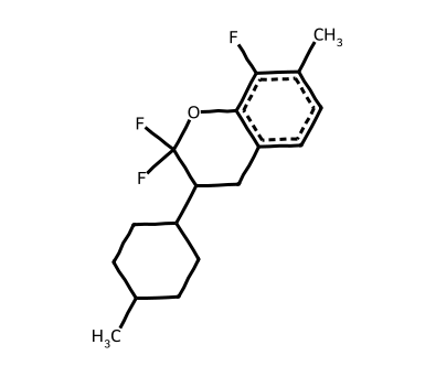 Cc1ccc2c(c1F)OC(F)(F)C(C1CCC(C)CC1)C2